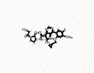 COc1cc(OCC2CC2)c(-c2ncnc3c(C(=O)N[C@@H]4CCN(C(=O)CO)C4O)c(C)[nH]c23)cc1F